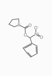 O=C(OC(c1ccccc1)[N+](=O)[O-])N1CCCC1